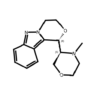 CN1CCOC[C@H]1[C@H]1OCCn2nc3ccccc3c21